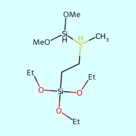 CCO[Si](CC[SH](C)[SiH](OC)OC)(OCC)OCC